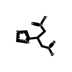 O=[N+]([O-])CC(C[N+](=O)[O-])c1cnc[nH]1